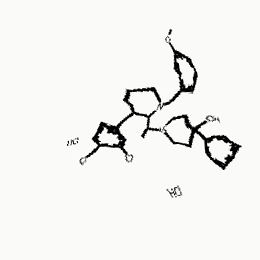 COc1cccc(CN2CCCC(c3ccc(Cl)c(Cl)c3)C2C(C)N2CCC(O)(c3ccccc3)CC2)c1.Cl.Cl